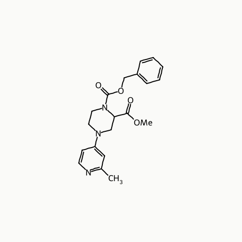 COC(=O)C1CN(c2ccnc(C)c2)CCN1C(=O)OCc1ccccc1